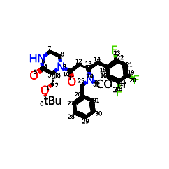 CC(C)(C)OC[C@@H]1C(=O)NCCN1C(=O)C[C@@H](Cc1cc(F)c(F)cc1F)N(Cc1ccccc1)C(=O)O